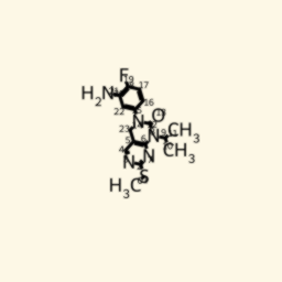 CSc1ncc2c(n1)N(C(C)C)C(=O)N(c1ccc(F)c(N)c1)C2